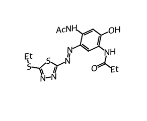 CCSc1nnc(/N=N/c2cc(NC(=O)CC)c(O)cc2NC(C)=O)s1